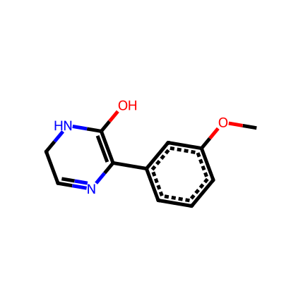 COc1cccc(C2=C(O)NCC=N2)c1